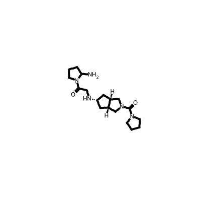 NC1CCCN1C(=O)CN[C@@H]1C[C@@H]2CN(C(=O)N3CCCC3)C[C@@H]2C1